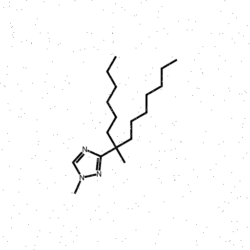 CCCCCCCC(C)(CCCCCC)c1ncn(C)n1